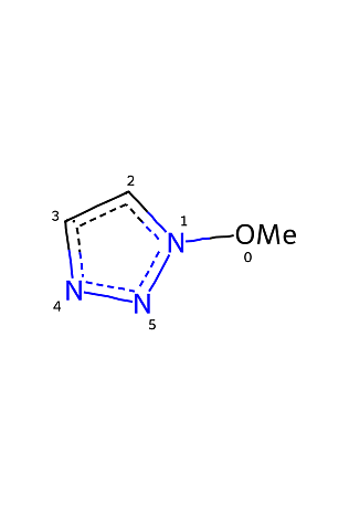 COn1c[c]nn1